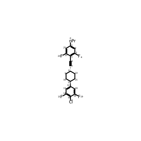 CCCc1cc(F)c(C#C[C@H]2CC[C@H](c3cc(F)c(Cl)c(F)c3)CC2)c(F)c1